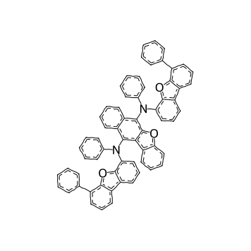 c1ccc(-c2cccc3c2oc2c(N(c4ccccc4)c4c5ccccc5c(N(c5ccccc5)c5cccc6c5oc5c(-c7ccccc7)cccc56)c5c4oc4ccccc45)cccc23)cc1